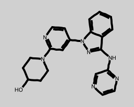 OC1CCN(c2cc(-n3nc(Nc4cnccn4)c4ccccc43)ccn2)CC1